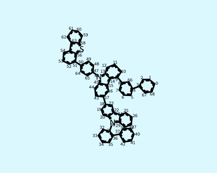 c1ccc(-c2cccc(-c3cccc4c3c3cc(-c5ccc6c(c5)c5ccccc5n6-c5ccccc5-c5ccccc5)ccc3n4-c3ccc(-c4cccc5c4sc4ccccc45)cc3)c2)cc1